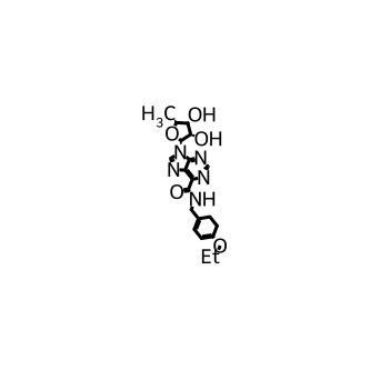 CCOC1=CC=C(CNC(=O)c2ncnc3c2ncn3[C@@H]2O[C@H](C)[C@@H](O)[C@H]2O)CC1